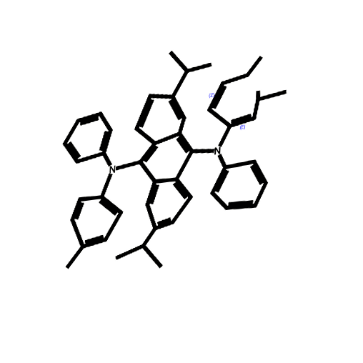 CC/C=C\C(=C/C(C)C)N(c1ccccc1)c1c2cc(C(C)C)ccc2c(N(c2ccccc2)c2ccc(C)cc2)c2cc(C(C)C)ccc12